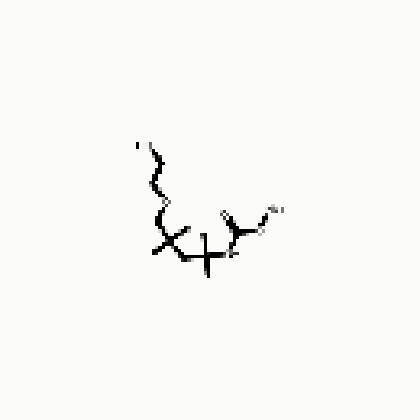 CC(C)(COCCO)CC(C)(C)NC(=O)OC(C)(C)C